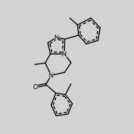 Cc1ccccc1C(=O)N1CCn2c(cnc2-c2ccccc2C)C1C